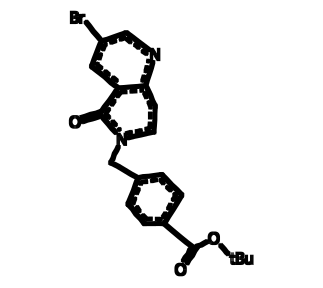 CC(C)(C)OC(=O)c1ccc(Cn2ccc3ncc(Br)cc3c2=O)cc1